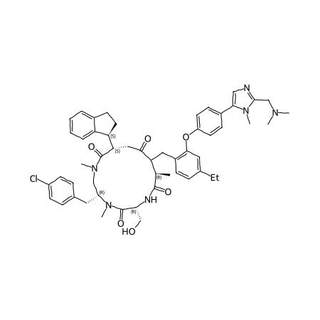 CCc1ccc(CC2C(=O)C[C@@H]([C@@H]3CCc4ccccc43)C(=O)N(C)C[C@@H](Cc3ccc(Cl)cc3)N(C)C(=O)[C@@H](CO)NC(=O)[C@@H]2C)c(Oc2ccc(-c3cnc(CN(C)C)n3C)cc2)c1